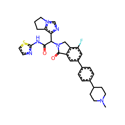 CN1CCC(c2ccc(-c3cc(F)c4c(c3)C(=O)N(C(C(=O)Nc3nccs3)c3ncn5c3CCC5)C4)cc2)CC1